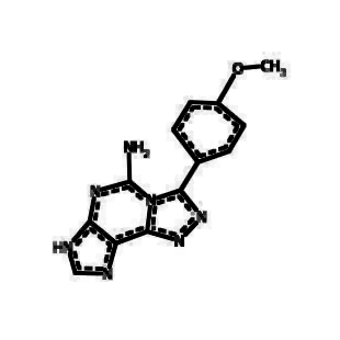 COc1ccc(-c2nnc3c4nc[nH]c4nc(N)n23)cc1